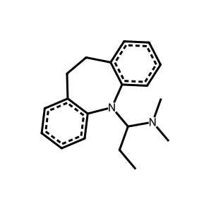 CCC(N(C)C)N1c2ccccc2CCc2ccccc21